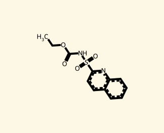 CCOC(=O)NS(=O)(=O)c1ccc2ccccc2n1